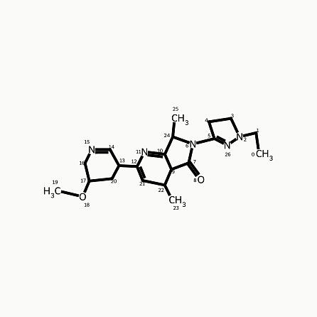 CCN1CCC(N2C(=O)C3C(=NC(C4C=NCC(OC)C4)=CC3C)C2C)=N1